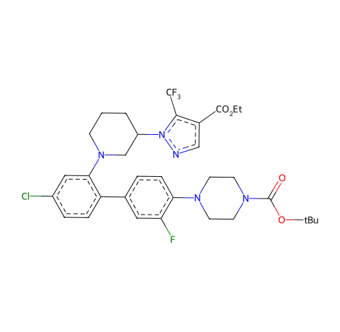 CCOC(=O)c1cnn(C2CCCN(c3cc(Cl)ccc3-c3ccc(N4CCN(C(=O)OC(C)(C)C)CC4)c(F)c3)C2)c1C(F)(F)F